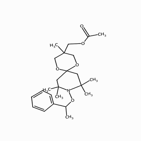 CC(=O)OCC1(C)COC2(CC(C)(C)N(OC(C)c3ccccc3)C(C)(C)C2)OC1